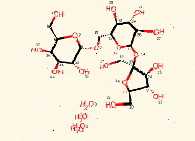 O.O.O.O.OC[C@H]1O[C@H](OC[C@H]2O[C@H](O[C@]3(CO)O[C@H](CO)[C@@H](O)[C@@H]3O)[C@H](O)[C@@H](O)[C@@H]2O)[C@H](O)[C@@H](O)[C@H]1O